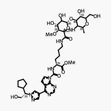 COC(=O)[C@H](CCCCNC(=O)C1O[C@@H](O[C@@H]2C(NC(C)=O)[C@H](C)OC(CO)[C@H]2O)C(O)[C@@H](O)[C@@H]1OC)NC(=O)n1ccc2c(-c3cnn([C@H](CO)C4CCCC4)c3)ncnc21